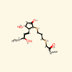 CCCCCC(O)C=C[C@@H]1C(SCCCSCC(=O)OC)C(=O)C[C@H]1O